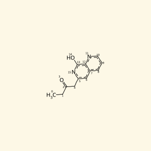 CCC(=O)Cc1cc2cccnc2c(O)n1